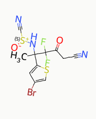 CC(N[S@+]([O-])C#N)(c1cc(Br)cs1)C(F)(F)C(=O)CC#N